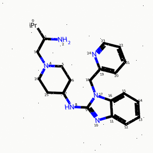 CC(C)C(N)CN1CCC(Nc2nc3ccccc3n2Cc2ccccn2)CC1